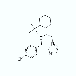 CC(C)(C)C1CCCCC1C(Cn1ccnc1)OCc1ccc(Cl)cc1